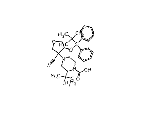 CC(C)(C)C1CN(C2(C#N)COCC2O[Si](c2ccccc2)(c2ccccc2)C(C)(C)C)CCN1C(=O)O